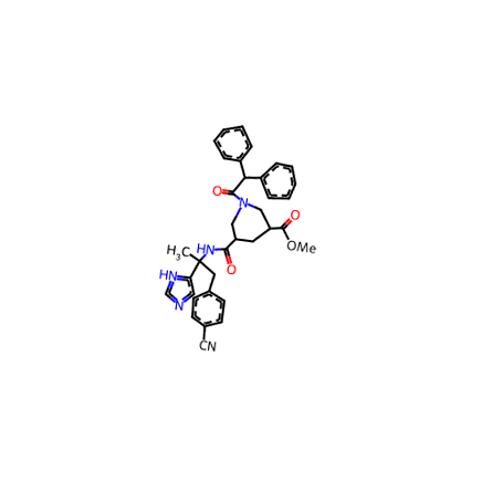 COC(=O)C1CC(C(=O)NC(C)(Cc2ccc(C#N)cc2)c2cnc[nH]2)CN(C(=O)C(c2ccccc2)c2ccccc2)C1